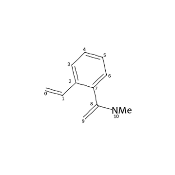 C=Cc1ccccc1C(=C)NC